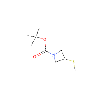 CSC1CN(C(=O)OC(C)(C)C)C1